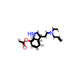 C=CCN(CC)CCc1c[nH]c2c(OC(C)=O)cccc12